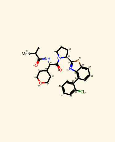 CN[C@@H](C)C(=O)N[C@H](C(=O)N1CCC[C@H]1c1nc2c(-c3ccccc3Cl)cccc2s1)C1CCOCC1